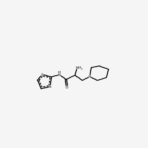 NC(CN1CCCCC1)C(=O)Nc1nccs1